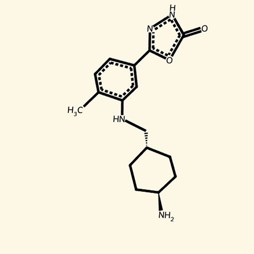 Cc1ccc(-c2n[nH]c(=O)o2)cc1NC[C@H]1CC[C@H](N)CC1